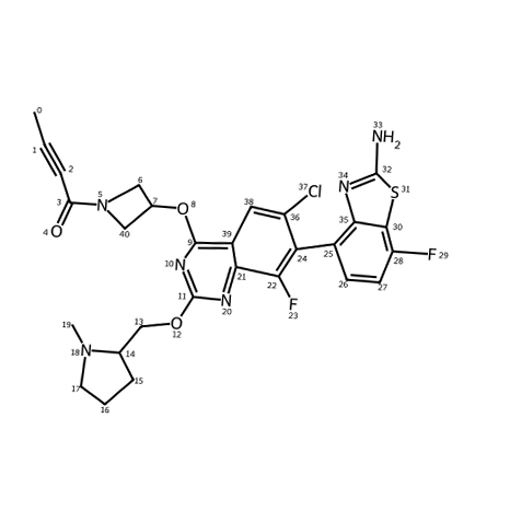 CC#CC(=O)N1CC(Oc2nc(OCC3CCCN3C)nc3c(F)c(-c4ccc(F)c5sc(N)nc45)c(Cl)cc23)C1